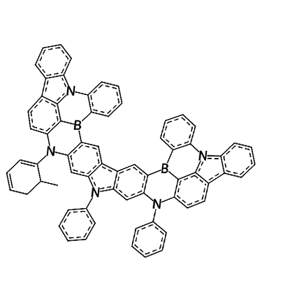 CC1CC=CC=C1N1c2cc3c(cc2B2c4ccccc4-n4c5ccccc5c5ccc1c2c54)c1cc2c(cc1n3-c1ccccc1)N(c1ccccc1)c1ccc3c4ccccc4n4c3c1B2c1ccccc1-4